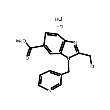 COC(=O)c1ccc2nc(CCl)n(Cc3cccnc3)c2c1.Cl.Cl